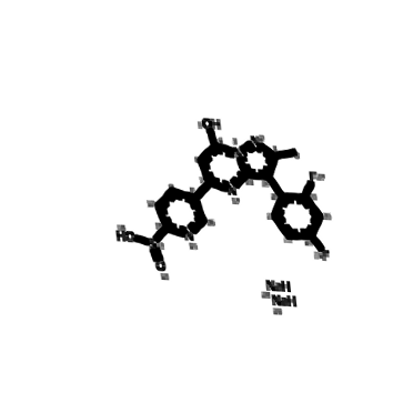 Cc1nn2c(O)cc(-c3ccc(S(=O)O)nc3)nc2c1-c1ccc(F)cc1F.[NaH].[NaH]